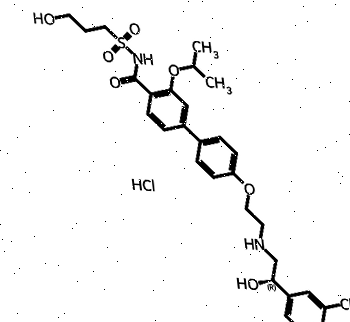 CC(C)Oc1cc(-c2ccc(OCCNC[C@H](O)c3cccc(Cl)c3)cc2)ccc1C(=O)NS(=O)(=O)CCCO.Cl